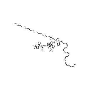 CC/C=C\C/C=C\C/C=C\C/C=C\C/C=C\C/C=C\CCC(=O)O[C@H](COCCCCCCCCCCCCCCCCCC)COP(=O)(OCCNC(=O)OC(C)(C)C)OC(C)(C)C